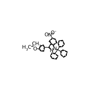 CC(C)Oc1ccc(-c2nn(C(c3ccccc3)(c3ccccc3)c3ccccc3)c3ccc([N+](=O)[O-])cc23)cc1